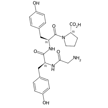 NCC(=O)N[C@@H](Cc1ccc(O)cc1)C(=O)N[C@@H](Cc1ccc(O)cc1)C(=O)N1CCC[C@H]1C(=O)O